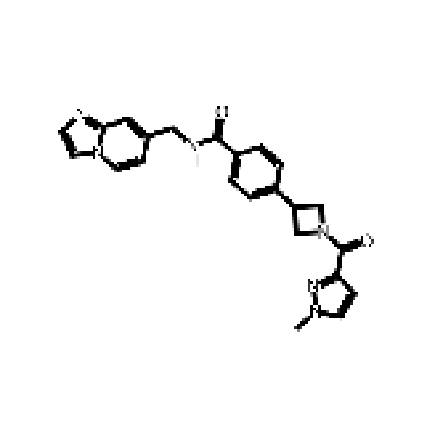 Cn1ccc(C(=O)N2CC(c3ccc(C(=O)NCc4ccn5ccnc5c4)cc3)C2)n1